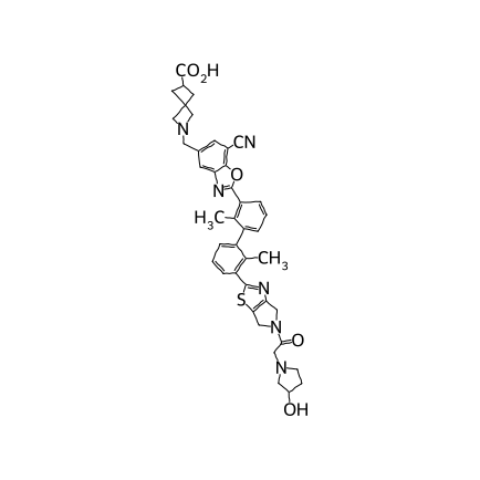 Cc1c(-c2nc3cc(CN4CC5(CC(C(=O)O)C5)C4)cc(C#N)c3o2)cccc1-c1cccc(-c2nc3c(s2)CN(C(=O)CN2CCC(O)C2)C3)c1C